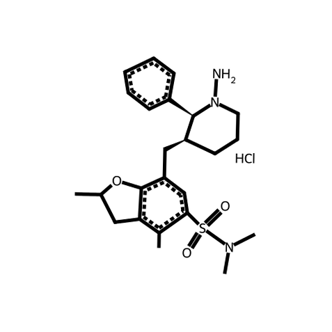 Cc1c(S(=O)(=O)N(C)C)cc(C[C@@H]2CCCN(N)[C@@H]2c2ccccc2)c2c1CC(C)O2.Cl